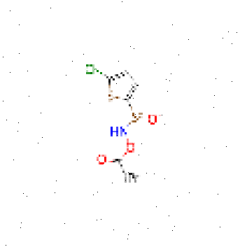 CC(C)C(=O)ON[S+]([O-])c1ccc(Cl)s1